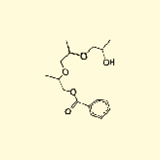 CC(O)COC(C)COC(C)COC(=O)c1ccccc1